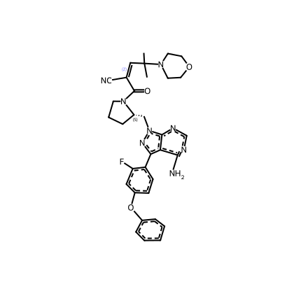 CC(C)(/C=C(/C#N)C(=O)N1CCC[C@H]1Cn1nc(-c2ccc(Oc3ccccc3)cc2F)c2c(N)ncnc21)N1CCOCC1